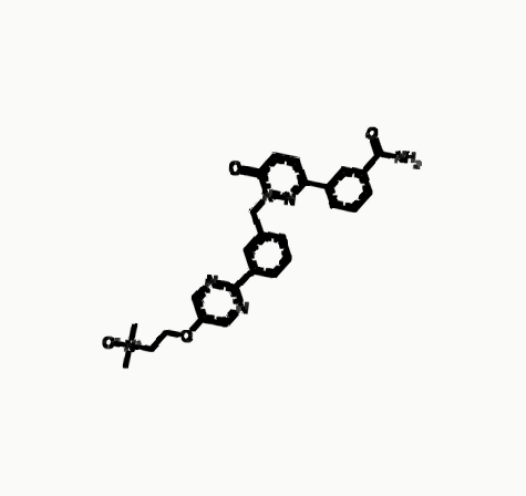 C[N+](C)([O-])CCOc1cnc(-c2cccc(Cn3nc(-c4cccc(C(N)=O)c4)ccc3=O)c2)nc1